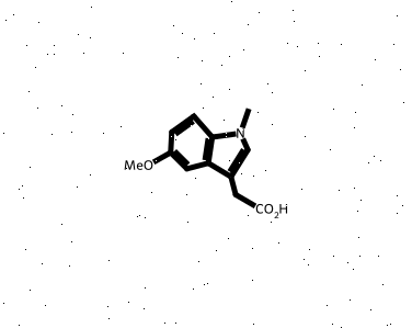 COc1ccc2c(c1)c(CC(=O)O)cn2C